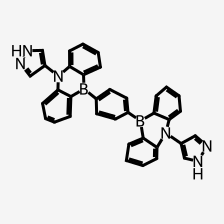 c1ccc2c(c1)B(c1ccc(B3c4ccccc4N(c4cn[nH]c4)c4ccccc43)cc1)c1ccccc1N2c1cn[nH]c1